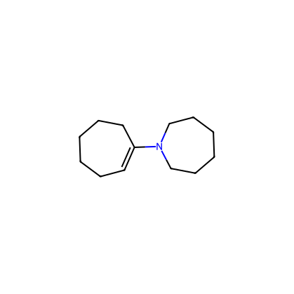 C1=C(N2CCCCCC2)CCCCC1